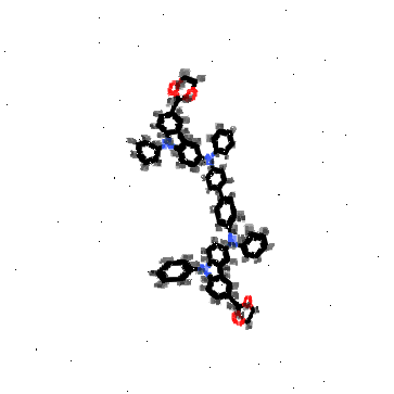 c1ccc(N(c2ccc(-c3ccc(N(c4ccccc4)c4ccc5c(c4)c4cc(C6OCCO6)ccc4n5-c4ccccc4)cc3)cc2)c2ccc3c(c2)c2cc(C4OCCO4)ccc2n3-c2ccccc2)cc1